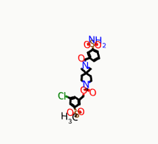 CS(=O)(=O)c1cc(Cl)cc(COC(=O)N2CCC3(CC2)CN(C(=O)c2cccc(S(N)(=O)=O)c2)C3)c1